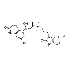 Cn1c(=O)n(CCCC(C)(C)NC[C@H](O)c2cc(O)cc3c2OCC(=O)N3)c2cc(F)ccc21